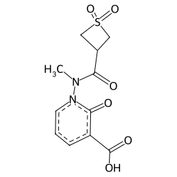 CN(C(=O)C1CS(=O)(=O)C1)n1cccc(C(=O)O)c1=O